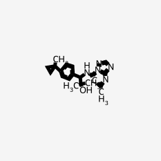 Cc1cc(NC(c2ccc(C3(C)CC3)cc2)C(C)(C)O)n2ncnc2n1